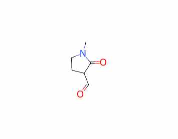 CN1CCC(C=O)C1=O